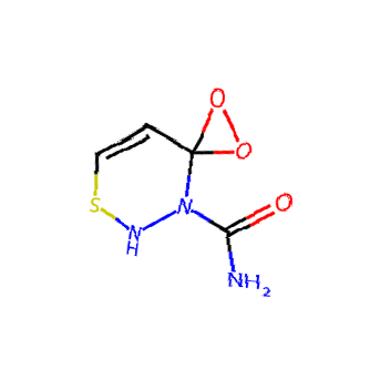 NC(=O)N1NSC=CC12OO2